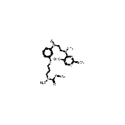 CSc1ncc(C=O)c(N(C)CCN(C)c2cccc(OCCCN(C)C(=O)OC(C)(C)C)c2)n1